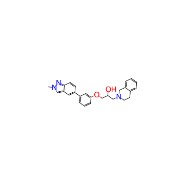 Cn1cc2cc(-c3cccc(OCC(O)CN4CCc5ccccc5C4)c3)ccc2n1